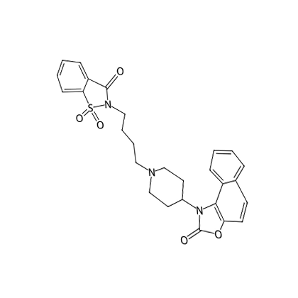 O=C1c2ccccc2S(=O)(=O)N1CCCCN1CCC(n2c(=O)oc3ccc4ccccc4c32)CC1